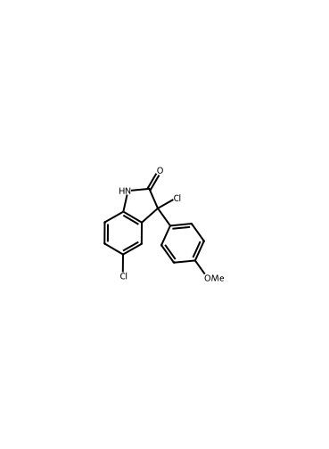 COc1ccc(C2(Cl)C(=O)Nc3ccc(Cl)cc32)cc1